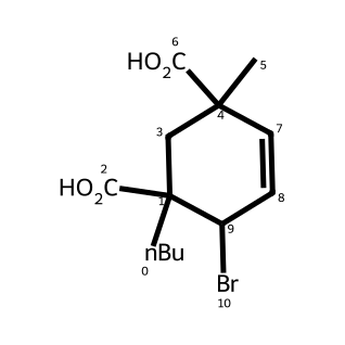 CCCCC1(C(=O)O)CC(C)(C(=O)O)C=CC1Br